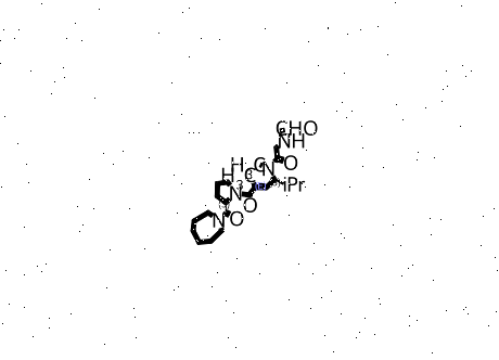 C/C(=C\[C@H](C(C)C)N(C)C(=O)CNC=O)C(=O)N1CCC[C@H]1C(=O)N1CCCCCC1